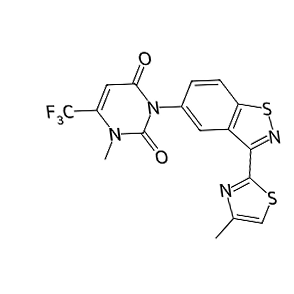 Cc1csc(-c2nsc3ccc(-n4c(=O)cc(C(F)(F)F)n(C)c4=O)cc23)n1